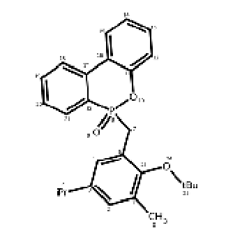 Cc1cc(C(C)C)cc(CP2(=O)Oc3ccccc3-c3ccccc32)c1OC(C)(C)C